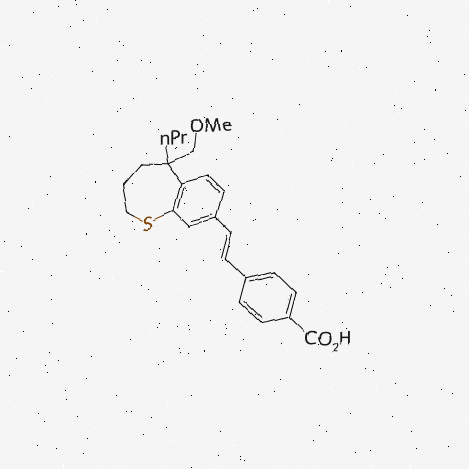 CCCC1(COC)CCCSc2cc(C=Cc3ccc(C(=O)O)cc3)ccc21